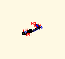 CC1=C(C#N)C(=O)N(CC(=O)O)C(=O)\C1=C/C=C/C=C/c1ccc2c(c1)C(=O)C(c1nc3ccccc3cc1O)=C2O